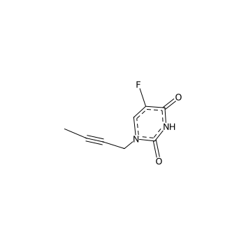 CC#CCn1cc(F)c(=O)[nH]c1=O